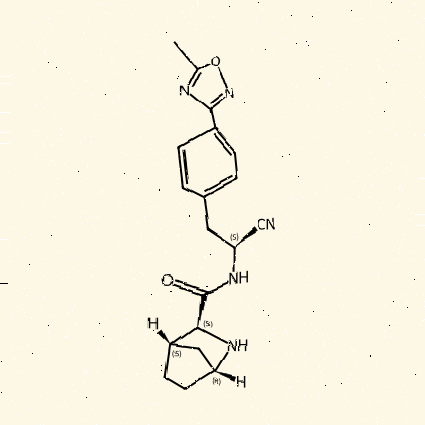 Cc1nc(-c2ccc(C[C@@H](C#N)NC(=O)[C@H]3N[C@@H]4CC[C@H]3C4)cc2)no1